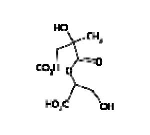 CC(O)(CC(=O)O)C(=O)OC(CO)C(=O)O